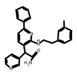 Cc1cccc(CCNc2nc(-c3ccccc3)ccc2C(C(N)=O)c2cccnc2)c1